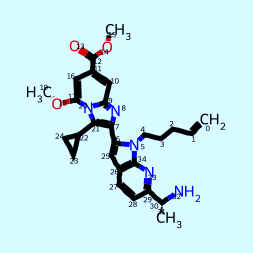 C=CCCCn1c(-c2nc3cc(C(=O)OC)cc(OC)n3c2C2CC2)cc2ccc([C@@H](C)N)nc21